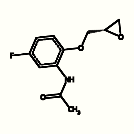 CC(=O)Nc1cc(F)ccc1OC[C@@H]1CO1